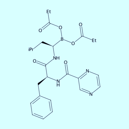 CCC(=O)OB(OC(=O)CC)[C@H](CC(C)C)NC(=O)[C@H](Cc1ccccc1)NC(=O)c1cnccn1